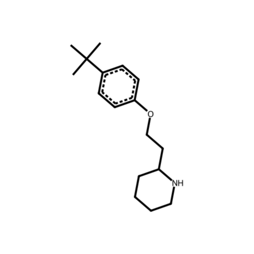 CC(C)(C)c1ccc(OCCC2CCCCN2)cc1